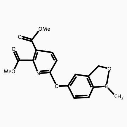 COC(=O)c1ccc(Oc2ccc3c(c2)COB3C)nc1C(=O)OC